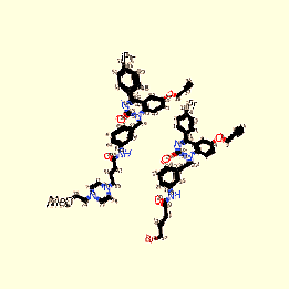 C#CCOc1ccc2c(c1)c(-c1ccc(C(C)C)cc1)nc(=O)n2Cc1cccc(NC(=O)CCCBr)c1.C#CCOc1ccc2c(c1)c(-c1ccc(C(C)C)cc1)nc(=O)n2Cc1cccc(NC(=O)CCCN2CCN(CCOC)CC2)c1